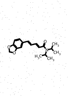 CC(C)N(C(=O)C=CC=Cc1ccc2c(c1)OCO2)C(C)C